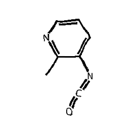 Cc1ncccc1N=C=O